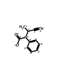 C#CC(C)N(C(=O)Cl)c1ccccc1